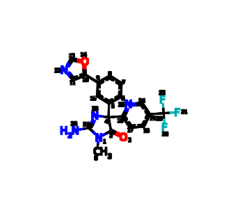 CN1C(=O)C(c2cccc(-c3cnco3)c2)(c2ccc(C(F)(F)F)cn2)N=C1N